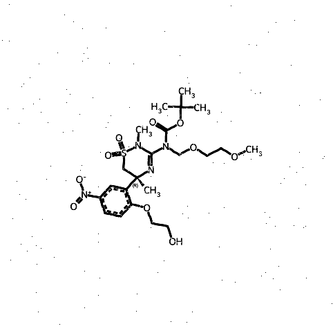 COCCOCN(C(=O)OC(C)(C)C)C1=N[C@](C)(c2cc([N+](=O)[O-])ccc2OCCO)CS(=O)(=O)N1C